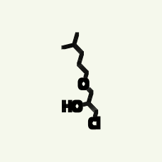 CC(C)CCCOCC(O)CCl